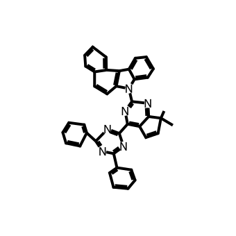 CC1(C)C=Cc2c(-c3nc(-c4ccccc4)nc(-c4ccccc4)n3)nc(-n3c4ccccc4c4c5ccccc5ccc43)nc21